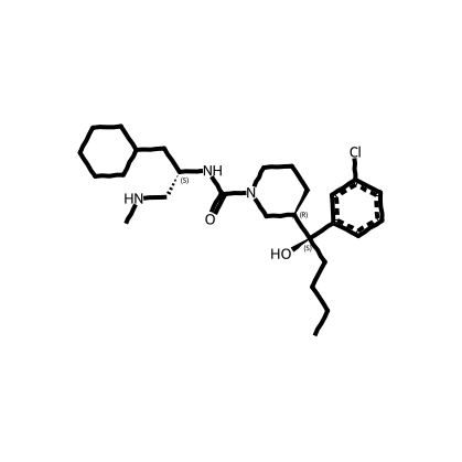 CCCC[C@@](O)(c1cccc(Cl)c1)[C@@H]1CCCN(C(=O)N[C@H](CNC)CC2CCCCC2)C1